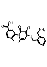 Cc1ccc(C(=O)O)cc1-n1c(C)cc(OCc2ccccc2CN)c(Cl)c1=O